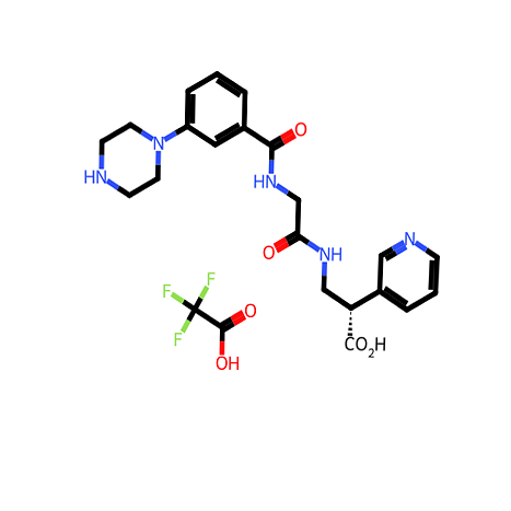 O=C(CNC(=O)c1cccc(N2CCNCC2)c1)NC[C@@H](C(=O)O)c1cccnc1.O=C(O)C(F)(F)F